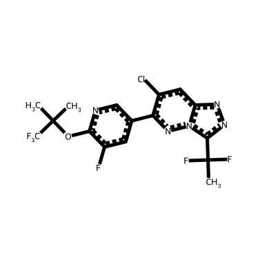 CC(F)(F)c1nnc2cc(Cl)c(-c3cnc(OC(C)(C)C(F)(F)F)c(F)c3)nn12